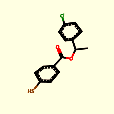 CC(OC(=O)c1ccc(S)cc1)c1ccc(Cl)cc1